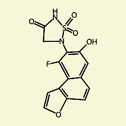 O=C1CN(c2c(O)cc3ccc4occc4c3c2F)S(=O)(=O)N1